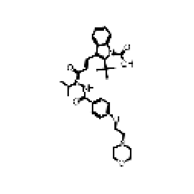 CC(C)N(NC(=O)c1ccc(OCCN2CCOCC2)cc1)C(=O)/C=C/c1c(C(C)(C)C)n(C(=O)O)c2ccccc12